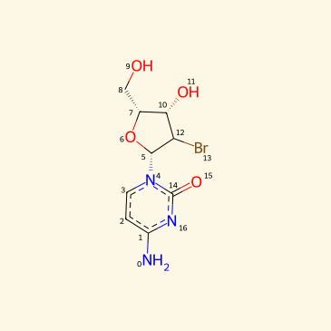 Nc1ccn([C@@H]2O[C@H](CO)[C@H](O)C2Br)c(=O)n1